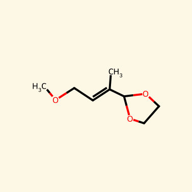 COCC=C(C)C1OCCO1